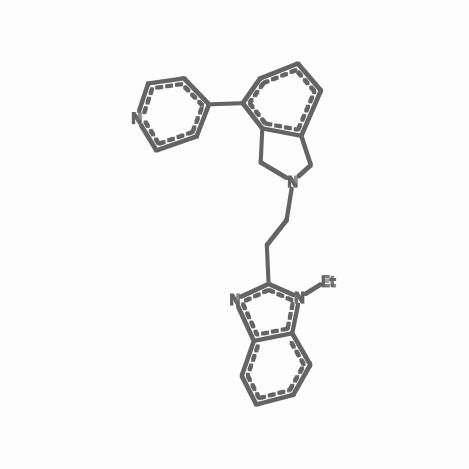 CCn1c(CCN2Cc3cccc(-c4ccncc4)c3C2)nc2ccccc21